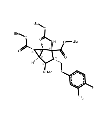 CC(=O)N[C@H]1[C@H]2[C@H](C(=O)OC(C)(C)C)[C@H]2[C@](NC(=O)OC(C)(C)C)(C(=O)OC(C)(C)C)[C@@H]1CSc1ccc(F)c(C)c1